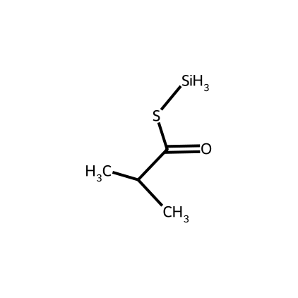 CC(C)C(=O)S[SiH3]